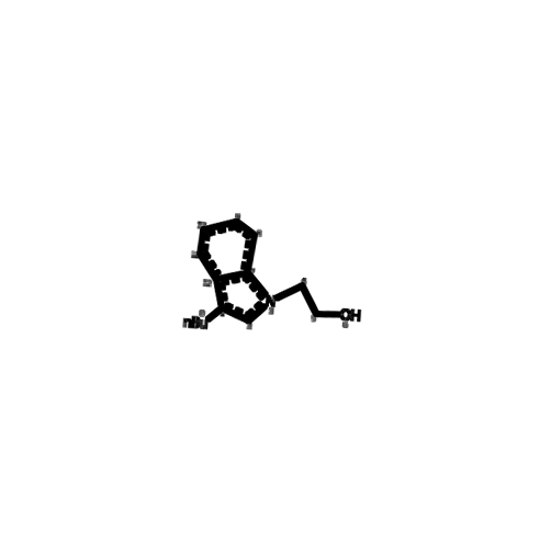 CCCCc1cn(CCO)c2ccccc12